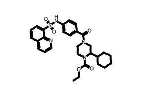 CCOC(=O)N1CCN(C(=O)c2ccc(NS(=O)(=O)c3cccc4cccnc34)cc2)CC1C1CCCCC1